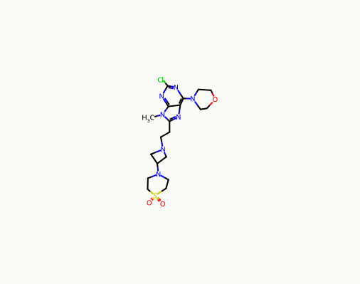 Cn1c(CCN2CC(N3CCS(=O)(=O)CC3)C2)nc2c(N3CCOCC3)nc(Cl)nc21